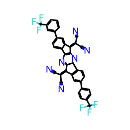 N#CC(C#N)=C1c2cc(-c3ccc(C(F)(F)F)cc3)ccc2-c2nc3c(nc21)-c1ccc(-c2cccc(C(F)(F)F)c2)cc1C3=C(C#N)C#N